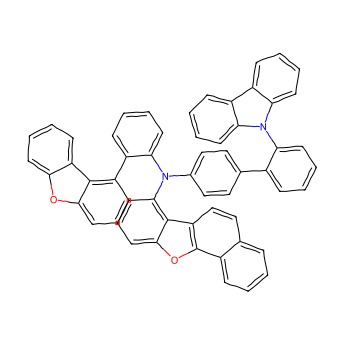 c1ccc(N(c2ccc(-c3ccccc3-n3c4ccccc4c4ccccc43)cc2)c2cccc3oc4c5ccccc5ccc4c23)c(-c2cccc3oc4ccccc4c23)c1